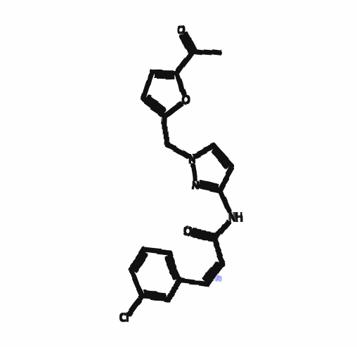 CC(=O)c1ccc(Cn2ccc(NC(=O)/C=C\c3cccc(Cl)c3)n2)o1